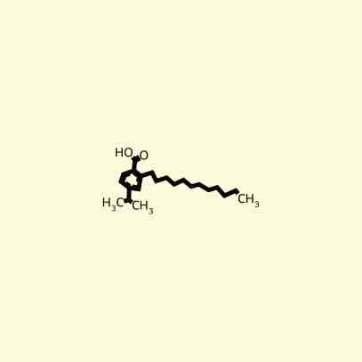 CCCCCCCCCCCCc1cc(C(C)C)ccc1C(=O)O